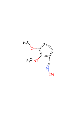 COc1cccc(C=NO)c1OC